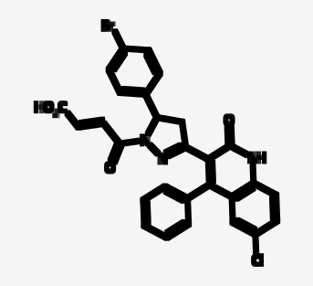 O=C(O)/C=C/C(=O)N1N=C(c2c(-c3ccccc3)c3cc(Cl)ccc3[nH]c2=O)CC1c1ccc(Br)cc1